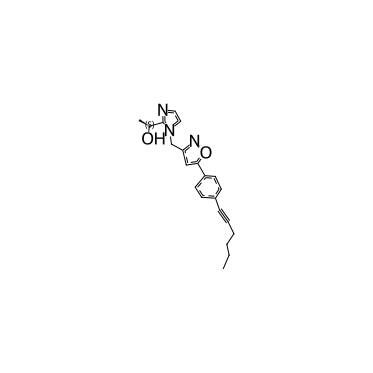 CCCCC#Cc1ccc(-c2cc(Cn3ccnc3[C@H](C)O)no2)cc1